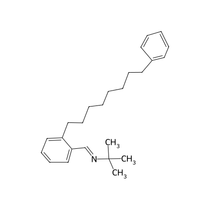 CC(C)(C)N=Cc1ccccc1CCCCCCCCc1ccccc1